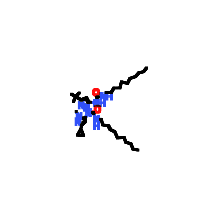 CCCCCCCCCCCNC(=O)Nc1cc(C(C)(C)C)nn1N(C(=O)NCCCCCCCCCCC)c1cc(C2CC2)nn1C